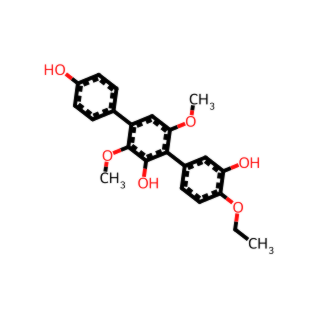 CCOc1ccc(-c2c(OC)cc(-c3ccc(O)cc3)c(OC)c2O)cc1O